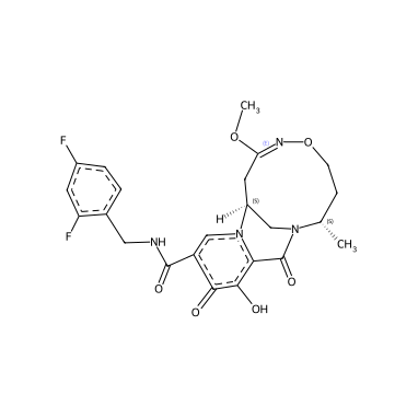 CO/C1=N/OCC[C@H](C)N2C[C@H](C1)n1cc(C(=O)NCc3ccc(F)cc3F)c(=O)c(O)c1C2=O